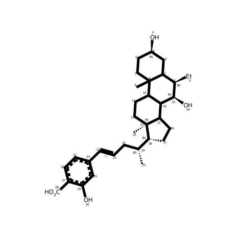 CC[C@@H]1C2C[C@H](O)CCC2(C)C2CC[C@@]3(C)C(CC[C@@H]3[C@H](C)C/C=C/c3ccc(C(=O)O)c(O)c3)C2[C@@H]1O